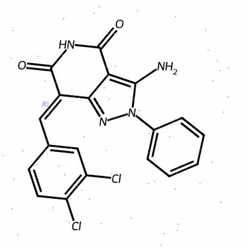 Nc1c2c(nn1-c1ccccc1)/C(=C\c1ccc(Cl)c(Cl)c1)C(=O)NC2=O